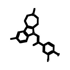 CC(=Cn1c2c(c3cc(C)ccc31)CCN(C)CC2)c1ccc(F)c(F)c1